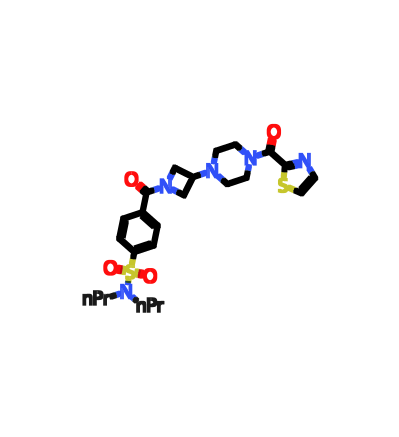 CCCN(CCC)S(=O)(=O)c1ccc(C(=O)N2CC(N3CCN(C(=O)c4nccs4)CC3)C2)cc1